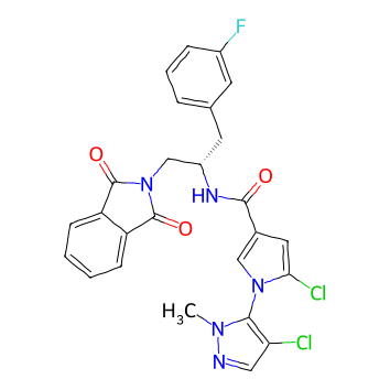 Cn1ncc(Cl)c1-n1cc(C(=O)N[C@@H](Cc2cccc(F)c2)CN2C(=O)c3ccccc3C2=O)cc1Cl